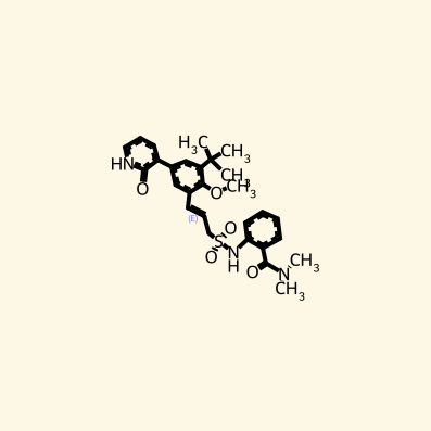 COc1c(/C=C/CS(=O)(=O)Nc2ccccc2C(=O)N(C)C)cc(-c2ccc[nH]c2=O)cc1C(C)(C)C